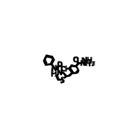 NNC(=O)c1ccc(CC2CN(C(=O)Nc3ccccc3)CCS2)c(Cl)c1